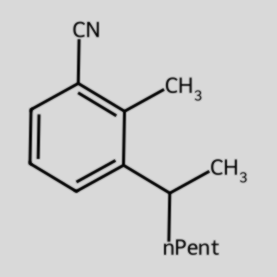 CCCCCC(C)c1cccc(C#N)c1C